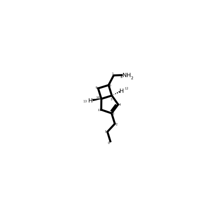 CCCC1=C[C@@H]2[C](CN)C[C@H]2C1